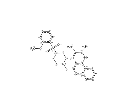 COC(=O)[C@@H](Nc1nc(CN2CCN(S(=O)(=O)c3ccccc3OC(F)(F)F)CC2)nc2ccccc12)C(C)C